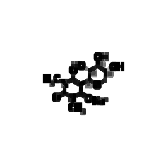 Cn1c([O-])c([C@@H]2OC[C@@H](O)[C@H](O)[C@H]2O)c(=O)n(C)c1=O.[Na+]